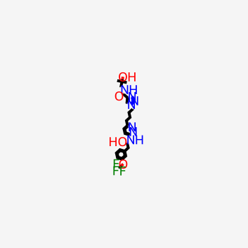 CC(C)(O)CNC(=O)c1cn(CCCCc2ccc(NC(O)Cc3cccc(OC(F)(F)F)c3)nn2)nn1